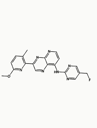 COc1ccc(C)c(-c2cnc3c(Nc4ncc(CF)cn4)ccnc3n2)n1